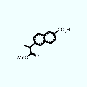 COC(=O)C(C)c1ccc2cc(C(=O)O)ccc2c1